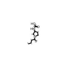 CCCC(F)N1CCC(NC(=O)O)C1